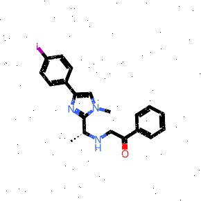 C[C@@H](NCC(=O)c1ccccc1)c1nc(-c2ccc(I)cc2)cn1C